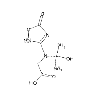 BC(B)(O)N(CC(=O)O)c1nc(=O)o[nH]1